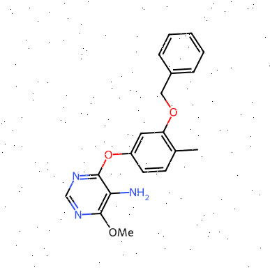 COc1ncnc(Oc2ccc(C)c(OCc3ccccc3)c2)c1N